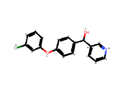 OC(c1ccc(Oc2cccc(Cl)c2)cc1)c1cccnc1